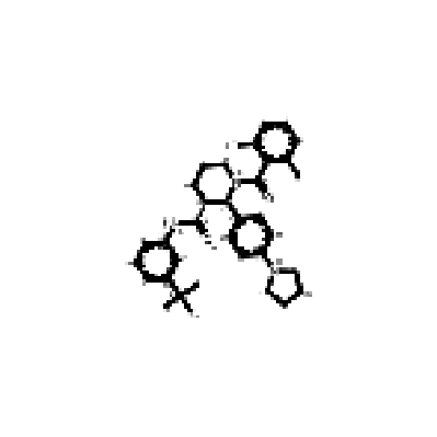 Cc1cccc(F)c1C(=O)N1CCC[C@H](C(=O)Nc2cccc(C(C)(C)C)c2)C1c1ccc(N2CCCC2)cc1